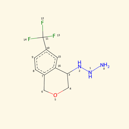 NNNC1COCc2ccc(C(F)(F)F)cc21